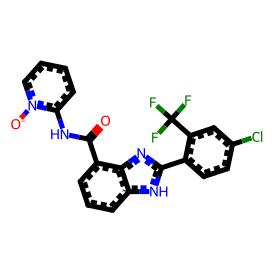 O=C(Nc1cccc[n+]1[O-])c1cccc2[nH]c(-c3ccc(Cl)cc3C(F)(F)F)nc12